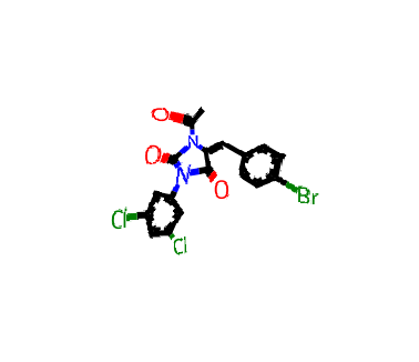 CC(=O)N1C(=O)N(c2cc(Cl)cc(Cl)c2)C(=O)C1=Cc1ccc(Br)cc1